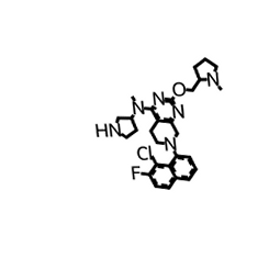 CN1CCCC1COc1nc2c(c(N(C)C3CCNC3)n1)CCN(c1cccc3ccc(F)c(Cl)c13)C2